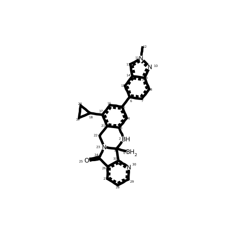 BC12Bc3cc(-c4ccc5nn(C)cc5c4)cc(C4CC4)c3CN1C(=O)c1cccnc12